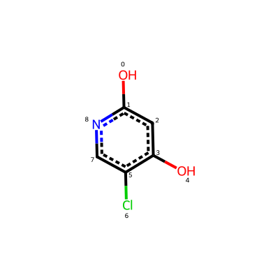 Oc1cc(O)c(Cl)cn1